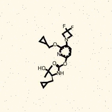 CC(C)(O)[C@H](CC1CC1)NC(=O)Oc1ccc(N2CC(F)(F)C2)c(OCC2CC2)n1